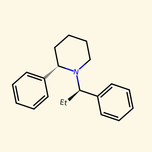 CC[C@H](c1ccccc1)N1CCCC[C@H]1c1ccccc1